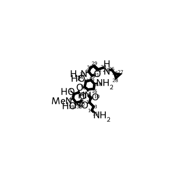 CN[C@@H]1[C@@H](O)[C@@H](O[C@H]2[C@H](NC(=O)[C@@H](O)CCN)C[C@H](N)C([C@H]3OC(CNCC4CC4)=CC[C@H]3N)[C@@H]2O)OC[C@]1(C)O